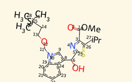 COC(=O)c1nc(C(O)c2cn(COCC[Si](C)(C)C)c3ccccc23)sc1C(C)C